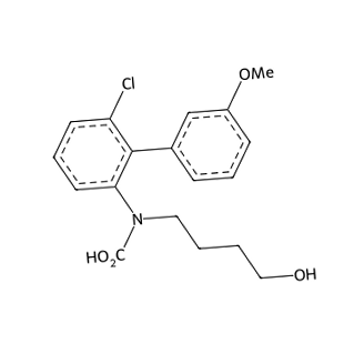 COc1cccc(-c2c(Cl)cccc2N(CCCCO)C(=O)O)c1